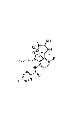 CCCCN1CC[C@]2(C1)[C@@](C)(c1cc(NC(=O)c3ccc(F)cn3)ccc1F)NC(=N)N(C)S2(=O)=O